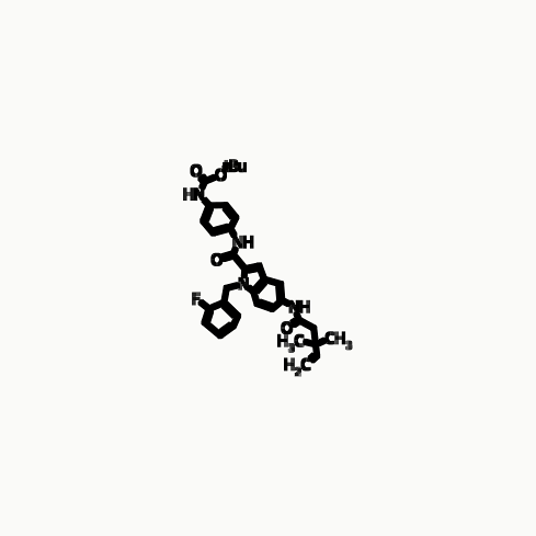 C=CC(C)(C)CC(=O)Nc1ccc2c(c1)cc(C(=O)Nc1ccc(NC(=O)OC(C)(C)C)cc1)n2Cc1ccccc1F